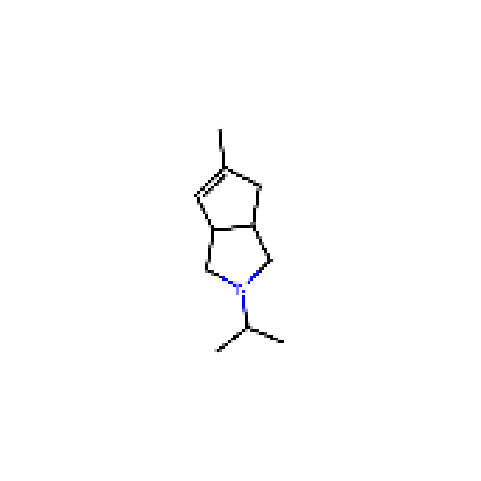 CC1=CC2CN(C(C)C)CC2C1